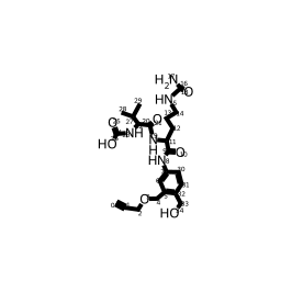 C#CCOCc1cc(NC(=O)C(CCCNC(N)=O)NC(=O)C(NC(=O)O)C(C)C)ccc1CO